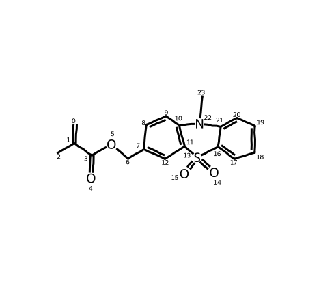 C=C(C)C(=O)OCc1ccc2c(c1)S(=O)(=O)c1ccccc1N2C